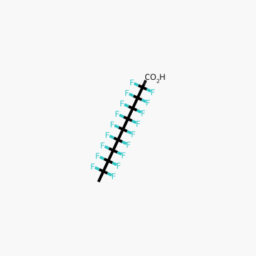 CC(F)(F)C(F)(F)C(F)(F)C(F)(F)C(F)(F)C(F)(F)C(F)(F)C(F)(F)C(F)(F)C(=O)O